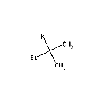 CC[C](C)(C)[K]